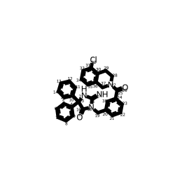 N=C1NC(c2ccccc2)(c2ccccc2)C(=O)N1Cc1cccc(C(=O)N2CCc3c(Cl)cccc3C2)c1